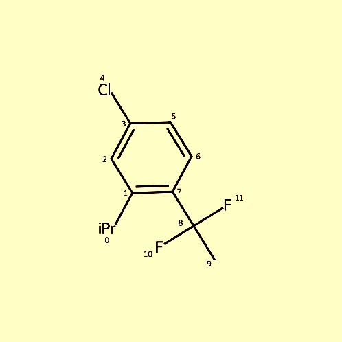 CC(C)c1cc(Cl)ccc1C(C)(F)F